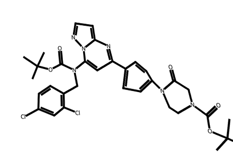 CC(C)(C)OC(=O)N1CCN(c2ccc(-c3cc(N(Cc4ccc(Cl)cc4Cl)C(=O)OC(C)(C)C)n4nccc4n3)cc2)C(=O)C1